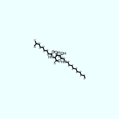 CCCCCCCCCCNCC1O[C@@H](C)C(NC(=O)CCCCCCC(C)C)[C@@H](O)[C@@H]1O